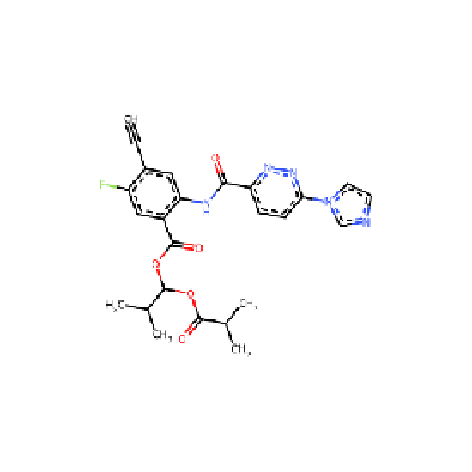 C#Cc1cc(NC(=O)c2ccc(-n3ccnc3)nn2)c(C(=O)OC(OC(=O)C(C)C)C(C)C)cc1F